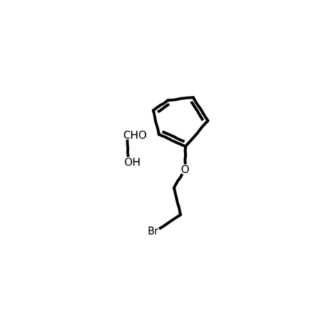 BrCCOc1ccccc1.O=CO